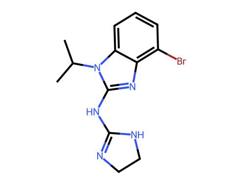 CC(C)n1c(NC2=NCCN2)nc2c(Br)cccc21